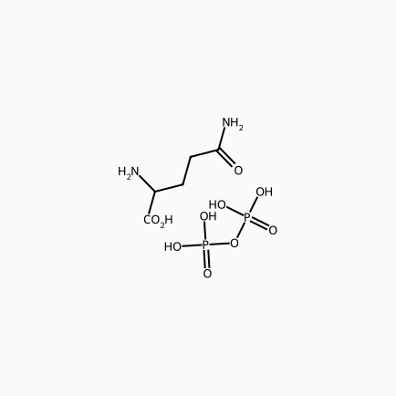 NC(=O)CCC(N)C(=O)O.O=P(O)(O)OP(=O)(O)O